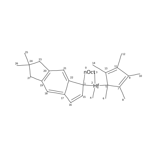 CCCCCCCC[C]1([Hf]([CH3])([CH3])[C]2(C)C(C)=C(C)C(C)=C2C)C=Cc2cc3c(cc21)CC(C)(C)C3